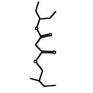 CCC(C)COC(=O)CC(=O)OC(CC)CC